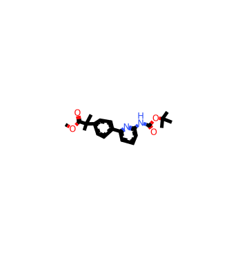 COC(=O)C(C)(C)c1ccc(-c2cccc(NC(=O)OC(C)(C)C)n2)cc1